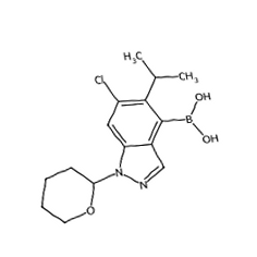 CC(C)c1c(Cl)cc2c(cnn2C2CCCCO2)c1B(O)O